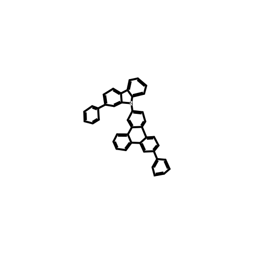 c1ccc(-c2ccc3c4ccc(-n5c6ccccc6c6ccc(-c7ccccc7)cc65)cc4c4ccccc4c3c2)cc1